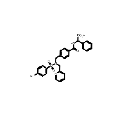 N#Cc1ccc(S(=O)(=O)N(Cc2ccc(C(=O)NC(C(=O)O)c3ccccc3)cc2)Cc2ccccn2)cc1